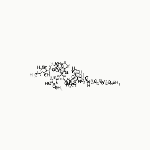 C/C=C/C=C(\C)[C@H](C[C@@H]1CC[C@@H](C)[C@](O)(C(=O)C(=O)N2CCCC[C@H]2C(=O)O[C@H](CC[C@@H]2CC[C@@H](O)[C@H](OC)C2)CC[C@H](C)/C=C(\C)[C@@H](O)[C@@H](OC)/C(=N/OCC(=O)NCCOCCOCCOCC)[C@H](C)CC(C)C)O1)OC